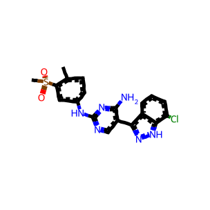 Cc1ccc(Nc2ncc(-c3n[nH]c4c(Cl)cccc34)c(N)n2)cc1S(C)(=O)=O